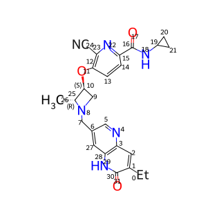 CCc1cc2ncc(CN3C[C@H](Oc4ccc(C(=O)NC5CC5)nc4C#N)[C@H]3C)cc2[nH]c1=O